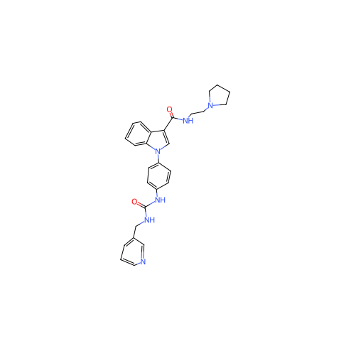 O=C(NCc1cccnc1)Nc1ccc(-n2cc(C(=O)NCCN3CCCC3)c3ccccc32)cc1